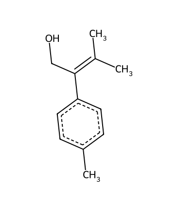 CC(C)=C(CO)c1ccc(C)cc1